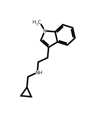 Cn1cc(CCNCC2CC2)c2ccccc21